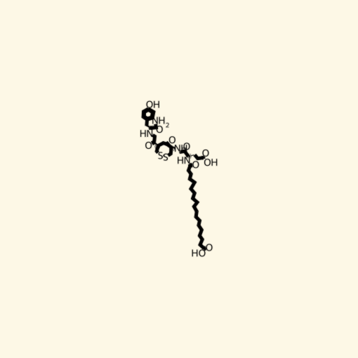 NC(=O)[C@H](Cc1ccc(O)cc1)NCC(=O)[C@@H]1CSSC[C@H](NCC(=O)[C@H](CCC(=O)O)NC(=O)CCCCCCCCCCCCCCCCCC(=O)O)C(=O)C1